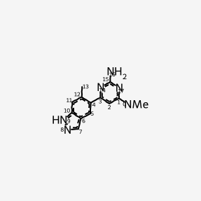 CNc1cc(-c2cc3cn[nH]c3cc2C)nc(N)n1